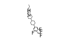 CCCCC[SiH]1CCC(C2CCC(c3cc(F)c(C=C(F)F)c(F)c3)CC2)CC1